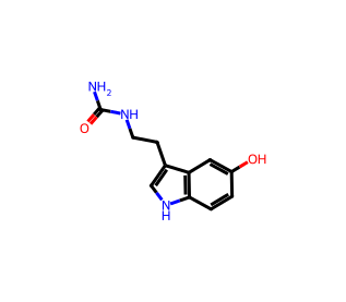 NC(=O)NCCc1c[nH]c2ccc(O)cc12